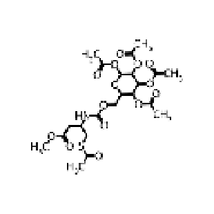 COC(=O)CC(CSC(C)=O)NC(=O)OCC1OC(OC(C)=O)C(OC(C)=O)C(OC(C)=O)C1OC(C)=O